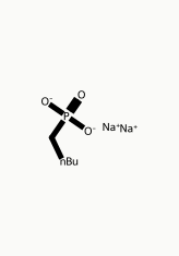 CCCCCP(=O)([O-])[O-].[Na+].[Na+]